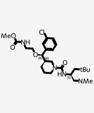 CNC[C@H](CC(C)(C)C)NC(=O)N1CCC[C@@H]([C@@H](OCCNC(=O)OC)c2cccc(Cl)c2)C1